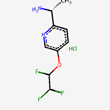 C[C@@H](N)c1ccc(OC(F)C(F)F)cn1.Cl